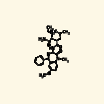 C=CC[C@H](C(N)=O)[C@@H](CC(C)C)C(=O)NC1N=C(c2ccccc2)c2cc(OC)ccc2N(C)C1=O